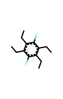 CCc1c(F)c(CC)c(CC)c(F)c1CC